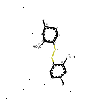 Cc1ccc(SSc2ccc(C)cc2C(=O)O)c(C(=O)O)c1